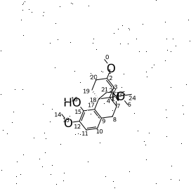 COC1=CC2(OC)C3Cc4ccc(OC)c(O)c4[C@@]2(CC1)CCN3C